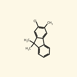 Cc1cc2c(cc1Cl)C(C)(C)c1ccccc1-2